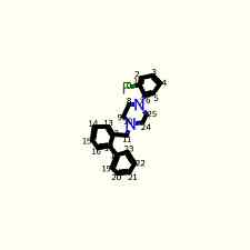 Fc1ccccc1N1CCN(Cc2ccccc2-c2ccccc2)CC1